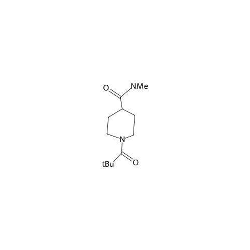 CNC(=O)C1CCN(C(=O)C(C)(C)C)CC1